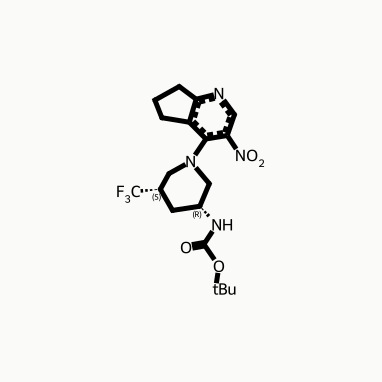 CC(C)(C)OC(=O)N[C@@H]1C[C@H](C(F)(F)F)CN(c2c([N+](=O)[O-])cnc3c2CCC3)C1